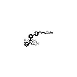 COCCCOc1ccc(-c2cccc(C(C)(C)N(C(=O)O)C3CN4CCC3CC4)c2)nn1